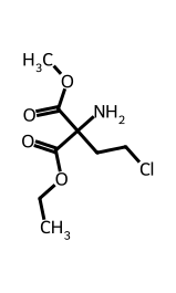 CCOC(=O)C(N)(CCCl)C(=O)OC